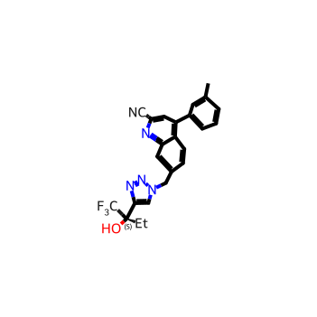 CC[C@](O)(c1cn(Cc2ccc3c(-c4cccc(C)c4)cc(C#N)nc3c2)nn1)C(F)(F)F